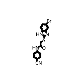 N#Cc1ccc(NC(=O)CSc2nc3cc(Br)ccc3[nH]2)cc1